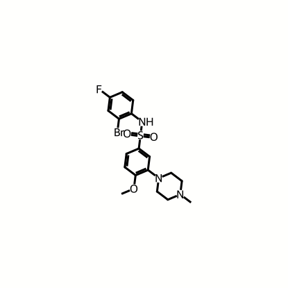 COc1ccc(S(=O)(=O)Nc2ccc(F)cc2Br)cc1N1CCN(C)CC1